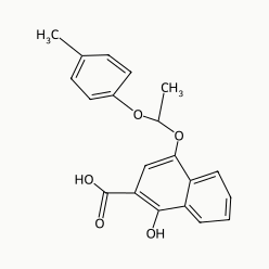 Cc1ccc(OC(C)Oc2cc(C(=O)O)c(O)c3ccccc23)cc1